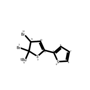 CC(C)(C)C1(Br)SC(c2cccs2)=CC1Br